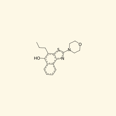 CCCc1c(O)c2ccccc2c2nc(N3CCOCC3)sc12